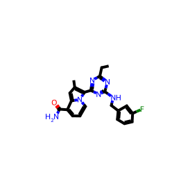 CCc1nc(NCc2cccc(F)c2)nc(-c2c(C)cc3c(C(N)=O)cccn23)n1